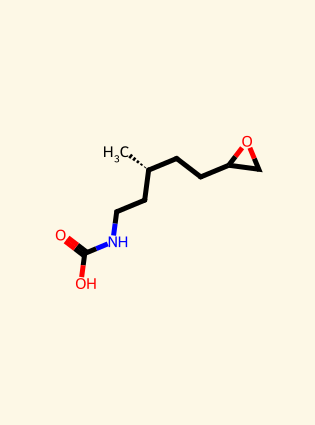 C[C@@H](CCNC(=O)O)CCC1CO1